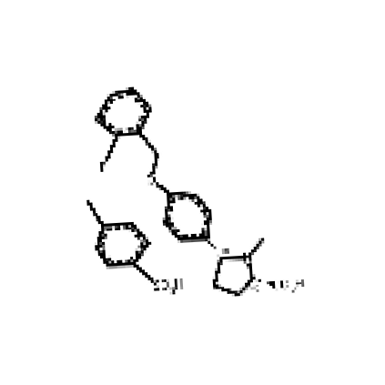 CN1[C@@H](c2ccc(OCc3ccccc3F)cc2)CC[C@H]1C(=O)O.Cc1ccc(S(=O)(=O)O)cc1